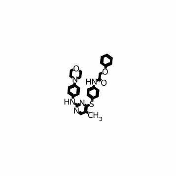 Cc1cnc(Nc2ccc(N3CCOCC3)cc2)nc1Sc1ccc(NC(=O)COc2ccccc2)cc1